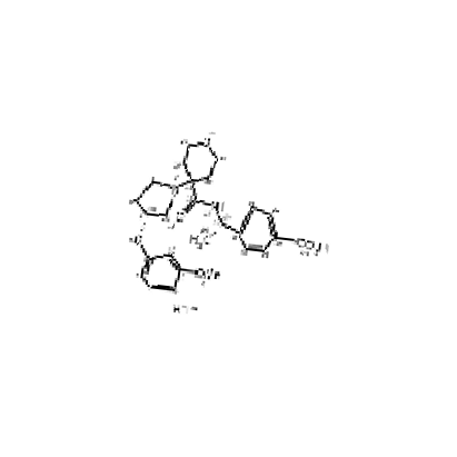 COc1cccc(O[C@@H]2CCN(C3(C(=O)N[C@@H](C)c4ccc(C(=O)O)cc4)CCOCC3)C2)c1.Cl